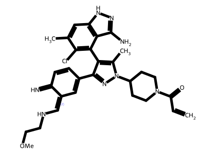 C=CC(=O)N1CCC(n2nc(C3=C/C(=C/NCCOC)C(=N)C=C3)c(-c3c(Cl)c(C)cc4[nH]nc(N)c34)c2C)CC1